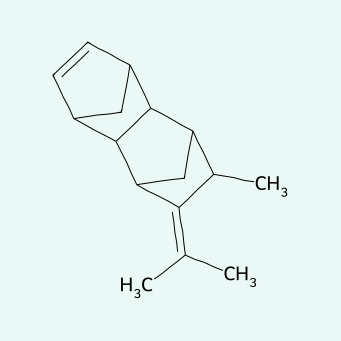 CC(C)=C1C(C)C2CC1C1C3C=CC(C3)C21